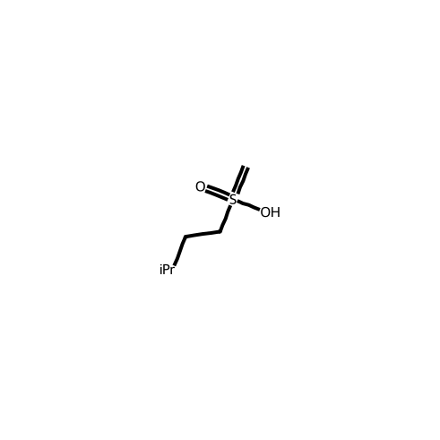 C=S(=O)(O)CCC(C)C